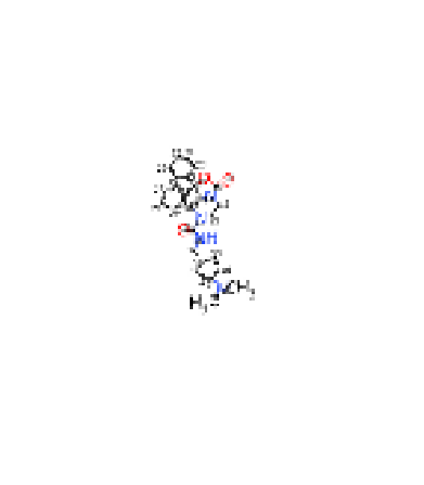 CN(C)c1ccc(CNC(=O)N2CCN3C(=O)OC(c4ccccc4)(c4ccccc4)C3C2)cc1